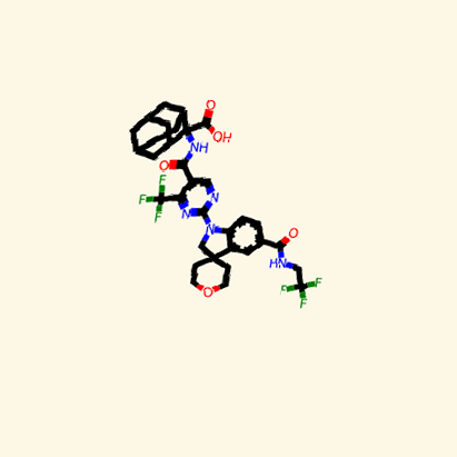 O=C(NCC(F)(F)F)c1ccc2c(c1)C1(CCOCC1)CN2c1ncc(C(=O)NC2(C(=O)O)C3CC4CC(C3)CC2C4)c(C(F)(F)F)n1